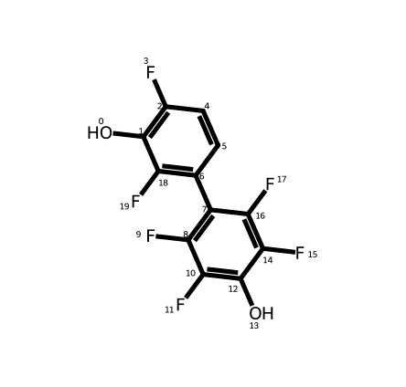 Oc1c(F)ccc(-c2c(F)c(F)c(O)c(F)c2F)c1F